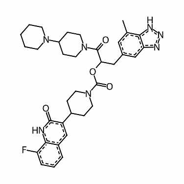 Cc1cc(CC(OC(=O)N2CCC(c3cc4cccc(F)c4[nH]c3=O)CC2)C(=O)N2CCC(N3CCCCC3)CC2)cc2nn[nH]c12